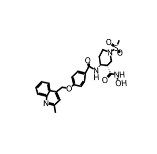 Cc1cc(COc2ccc(C(=O)N[C@@H]3CCN(S(C)(=O)=O)C[C@@H]3C(=O)NO)cc2)c2ccccc2n1